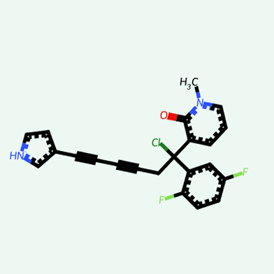 Cn1cccc(C(Cl)(CC#CC#Cc2cc[nH]c2)c2cc(F)ccc2F)c1=O